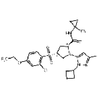 Cc1cc(N2C[C@H](S(=O)(=O)c3ccc(OCC(F)(F)F)cc3Cl)C[C@H]2C(=O)NC2(C#N)CC2)n(C2CCC2)n1